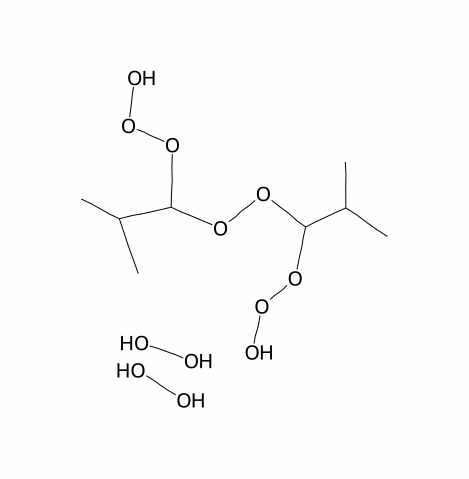 CC(C)C(OOO)OOC(OOO)C(C)C.OO.OO